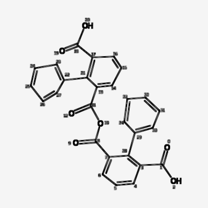 O=C(O)c1cccc(C(=O)OC(=O)c2cccc(C(=O)O)c2-c2ccccc2)c1-c1ccccc1